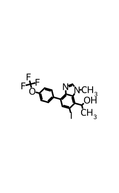 CC(O)c1c(I)cc(-c2ccc(OC(F)(F)F)cc2)c2ncn(C)c12